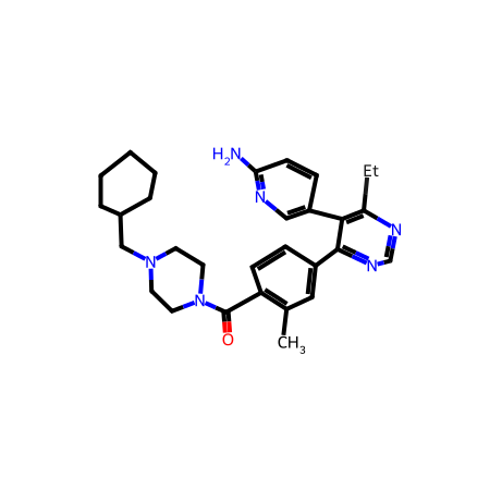 CCc1ncnc(-c2ccc(C(=O)N3CCN(CC4CCCCC4)CC3)c(C)c2)c1-c1ccc(N)nc1